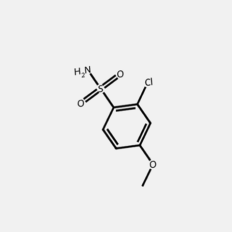 COc1ccc(S(N)(=O)=O)c(Cl)c1